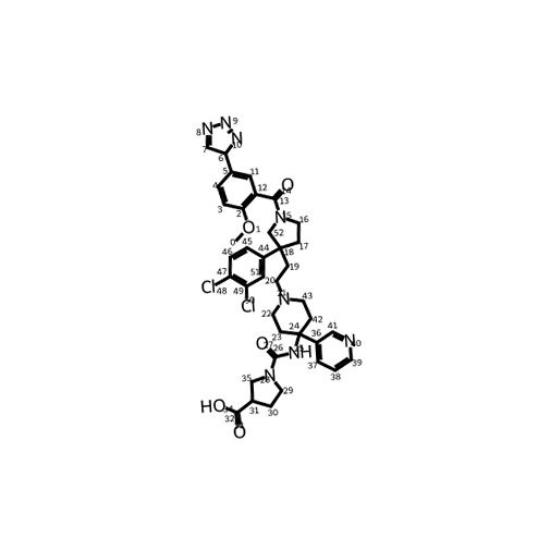 COc1ccc(C2C=NN=N2)cc1C(=O)N1CCC(CCN2CCC(NC(=O)N3CCC(C(=O)O)C3)(c3cccnc3)CC2)(c2ccc(Cl)c(Cl)c2)C1